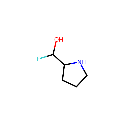 OC(F)C1CCCN1